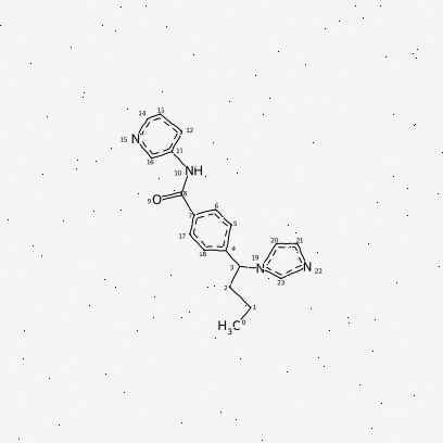 CCCC(c1ccc(C(=O)Nc2cccnc2)cc1)n1ccnc1